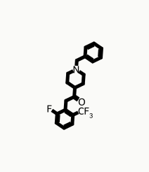 O=C(Cc1c(F)cccc1C(F)(F)F)C1CCN(Cc2ccccc2)CC1